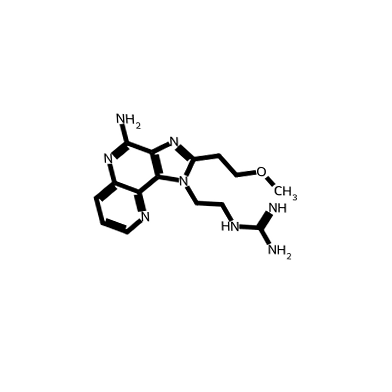 COCCc1nc2c(N)nc3cccnc3c2n1CCNC(=N)N